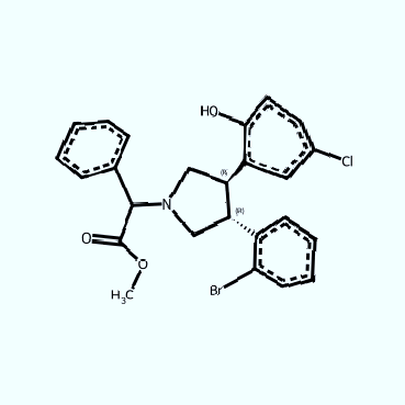 COC(=O)C(c1ccccc1)N1C[C@@H](c2cc(Cl)ccc2O)[C@H](c2ccccc2Br)C1